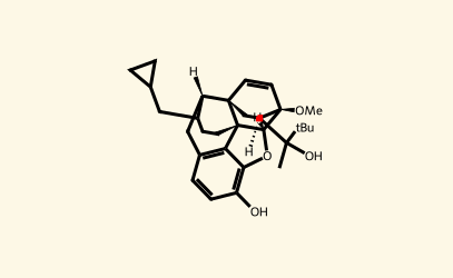 CO[C@]12C=C[C@@]3(C[C@@H]1C(C)(O)C(C)(C)C)[C@H]1Cc4ccc(O)c5c4[C@@]3(CCC1CC1CC1)[C@H]2O5